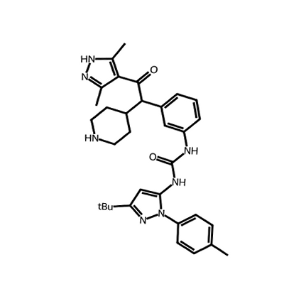 Cc1ccc(-n2nc(C(C)(C)C)cc2NC(=O)Nc2cccc(C(C(=O)c3c(C)n[nH]c3C)C3CCNCC3)c2)cc1